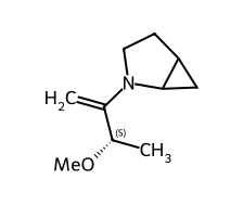 C=C([C@H](C)OC)N1CCC2CC21